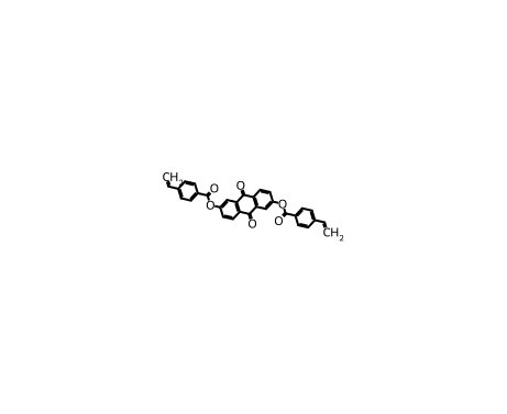 C=Cc1ccc(C(=O)Oc2ccc3c(c2)C(=O)c2ccc(OC(=O)c4ccc(C=C)cc4)cc2C3=O)cc1